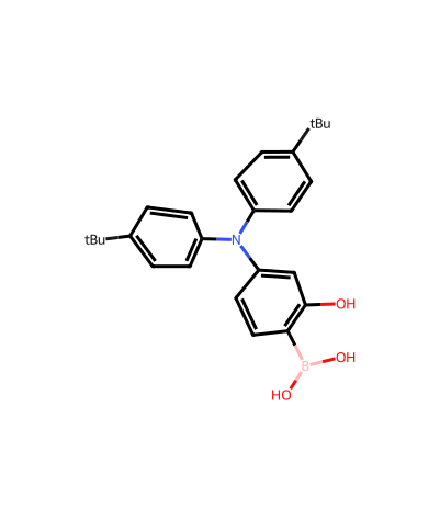 CC(C)(C)c1ccc(N(c2ccc(C(C)(C)C)cc2)c2ccc(B(O)O)c(O)c2)cc1